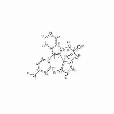 COc1ccc(-n2c(-c3c(C)noc3C)c(NS(C)(=O)=O)c3ccccc32)cc1